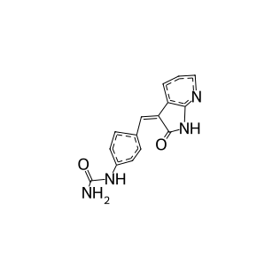 NC(=O)Nc1ccc(C=C2C(=O)Nc3ncccc32)cc1